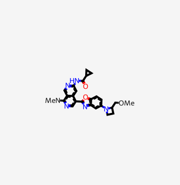 CNc1ncc(-c2nc3cc(N4CCC4COC)ccc3o2)c2cc(NC(=O)C3CC3)ncc12